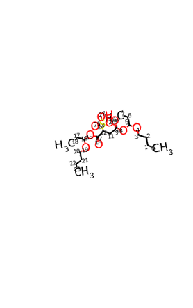 CCCCOC(CC)OC(=O)CC(C(=O)OC(CC)OCCCC)S(=O)(=O)O